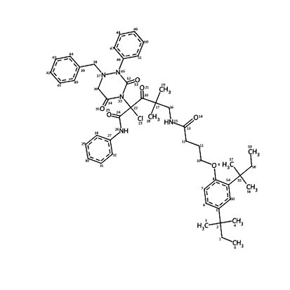 CCC(C)(C)c1ccc(OCCCC(=O)NCC(C)(C)C(=O)C(Cl)(C(=O)Nc2ccccc2)N2C(=O)CN(Cc3ccccc3)N(c3ccccc3)C2=O)c(C(C)(C)CC)c1